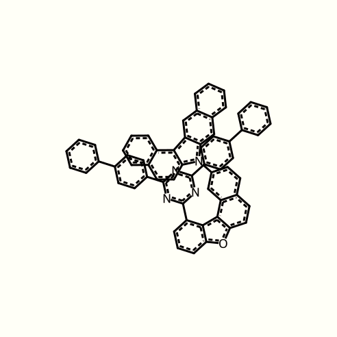 c1ccc(-c2ccc(-c3nc(-c4ccc(-c5ccccc5)cc4)nc(-c4cccc5oc6ccc7ccc(-n8c9cc%10ccccc%10cc9c9c%10ccccc%10ccc98)cc7c6c45)n3)cc2)cc1